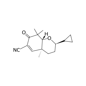 CC1(C)C(=O)C(C#N)=C[C@]2(C)CC[C@H](C3CC3)O[C@@H]12